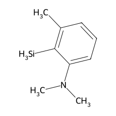 Cc1cccc(N(C)C)c1[SiH3]